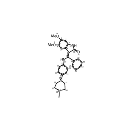 COc1cc2c(cc1OC)C(=C(Nc1ccc(N3CCN(C)CC3)cc1)c1ccccc1)C(=O)N2